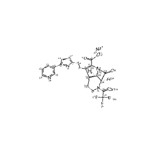 O=C([O-])C1=C(CSc2nc(-c3cccnc3)cs2)C2CCN(C(=O)C(F)(F)F)[C@@H]3C(=O)N1[C@H]23.[Na+]